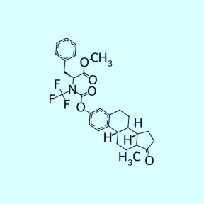 COC(=O)[C@H](Cc1ccccc1)N(C(=O)Oc1ccc2c(c1)CC[C@@H]1[C@@H]2CC[C@]2(C)C(=O)CC[C@@H]12)C(F)(F)F